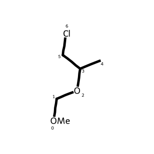 COCOC(C)CCl